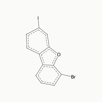 Brc1cccc2c1oc1cc(I)ccc12